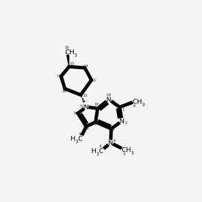 Cc1nc(N(C)C)c2c(C)cn([C@H]3CC[C@H](C)CC3)c2n1